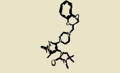 Cc1c(N2CC(C)(C)N(C)C2=O)c(N2CCN(CC3COc4ccccc4O3)CC2)nn1C